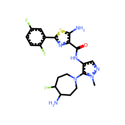 Cn1ncc(NC(=O)c2nc(-c3cc(F)ccc3F)sc2N)c1N1CCC(N)C(F)CC1